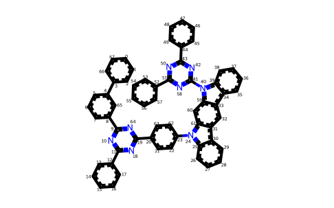 c1ccc(-c2cccc(-c3nc(-c4ccccc4)nc(-c4ccc(-n5c6ccccc6c6cc7c8ccccc8n(-c8nc(-c9ccccc9)nc(-c9ccccc9)n8)c7cc65)cc4)n3)c2)cc1